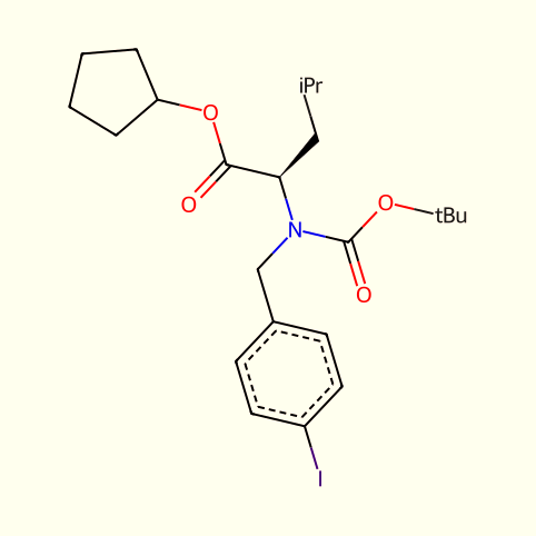 CC(C)C[C@H](C(=O)OC1CCCC1)N(Cc1ccc(I)cc1)C(=O)OC(C)(C)C